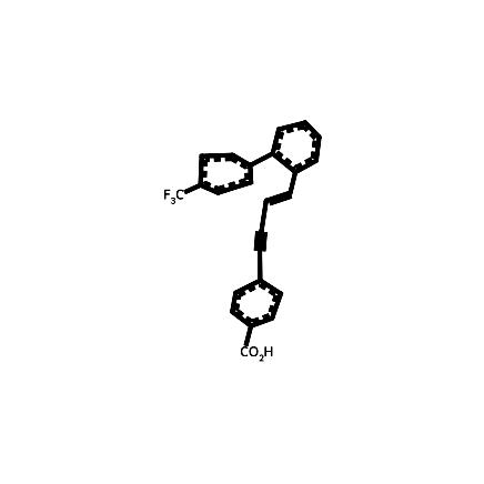 O=C(O)c1ccc(C#C/C=C/c2ccccc2-c2ccc(C(F)(F)F)cc2)cc1